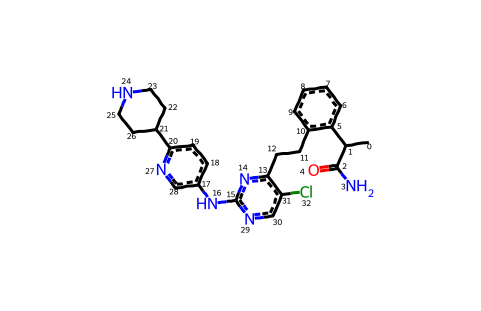 CC(C(N)=O)c1ccccc1CCc1nc(Nc2ccc(C3CCNCC3)nc2)ncc1Cl